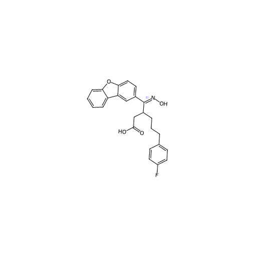 O=C(O)CC(CCCc1ccc(F)cc1)/C(=N\O)c1ccc2oc3ccccc3c2c1